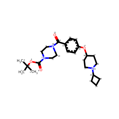 CC(C)(C)OC(=O)N1CCN(C(=O)c2ccc(OC3CCN(C4CCC4)CC3)cc2)CC1